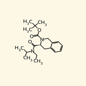 CCN(C(=O)[C@@H]1Cc2ccccc2CN1C(=O)OC(C)(C)C)C(C)C